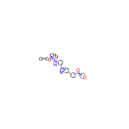 CN(OC=O)C(=O)Nc1cccc(-c2cnc3cc(-c4cccc(C(=O)N5CCOCC5)c4)ccn23)c1